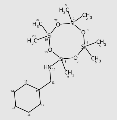 C[Si]1(C)O[Si](C)(C)O[Si](C)(NCC2CCCCC2)O[Si](C)(C)O1